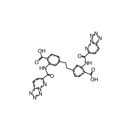 O=C(Nc1cc(CCc2ccc(C(=O)O)c(NC(=O)c3ccc4nnnn4n3)c2)ccc1C(=O)O)c1ccc2nnnn2n1